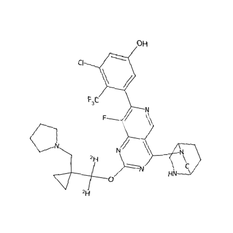 [2H]C([2H])(Oc1nc(N2CC3CCC2CN3)c2cnc(-c3cc(O)cc(Cl)c3C(F)(F)F)c(F)c2n1)C1(CN2CCCC2)CC1